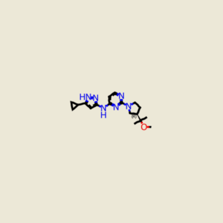 COC(C)(C)[C@@H]1CCN(c2nccc(Nc3cc(C4CC4)[nH]n3)n2)C1